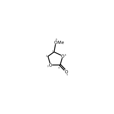 [CH2]OC1COC(=O)O1